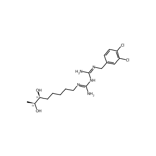 C[C@H](O)[C@@H](O)CCCCCN=C(N)NC(N)=NCc1ccc(Cl)c(Cl)c1